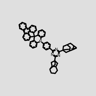 c1ccc(C2(c3cccc4c3sc3ccccc34)c3ccccc3N(c3ccc(-c4nc(C56CC7CCCC(C5)C7C6)nc(C56CC7CC(C5)C5C(C7)C5C6)n4)cc3)c3ccccc32)cc1